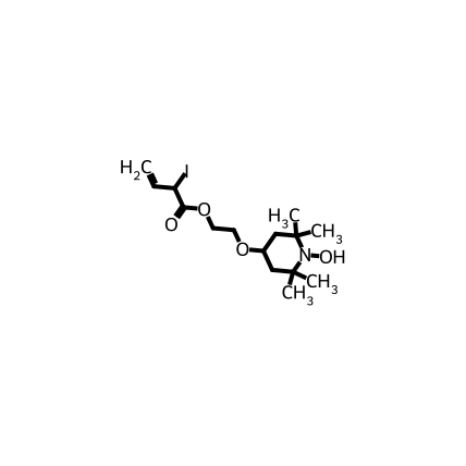 C=CC(I)C(=O)OCCOC1CC(C)(C)N(O)C(C)(C)C1